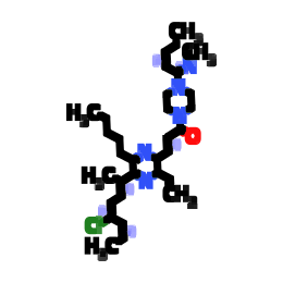 C=CC1N=C(/C(C)=C/C=C(Cl)\C=C/C)C(CCCCC)=NC1/C=C/C(=O)N1CCN(C(/C=C\CC)=N/C)CC1